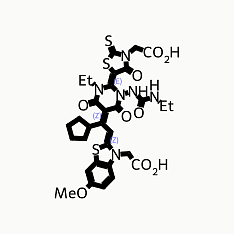 CCNC(=O)Nn1c(=O)/c(=C(\C=C2/Sc3cc(OC)ccc3N2CC(=O)O)C2CCCC2)c(=O)n(CC)/c1=C1\SC(=S)N(CC(=O)O)C1=O